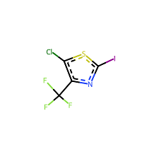 FC(F)(F)c1nc(I)sc1Cl